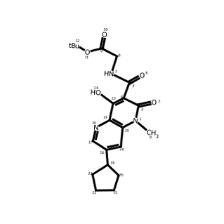 Cn1c(=O)c(C(=O)NCC(=O)OC(C)(C)C)c(O)c2ncc(C3CCCC3)cc21